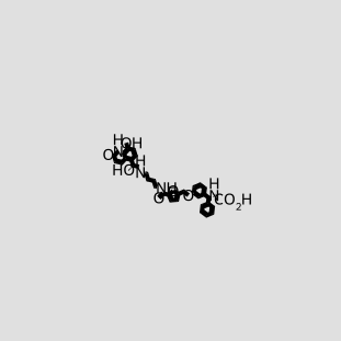 O=C(O)N[C@@H](c1ccccc1)c1cccc(OCc2ccc(C(=O)NCCCCNC[C@H](O)c3ccc(O)c4[nH]c(=O)ccc34)o2)c1